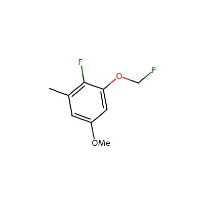 COc1cc(C)c(F)c(OCF)c1